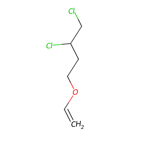 C=COCCC(Cl)CCl